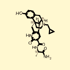 C[C@H](NC(=O)c1cc2c([nH]c1=O)C[C@]13CCN(CC4CC4)[C@H](Cc4ccc(O)cc41)[C@@H]3C2)C(N)=O